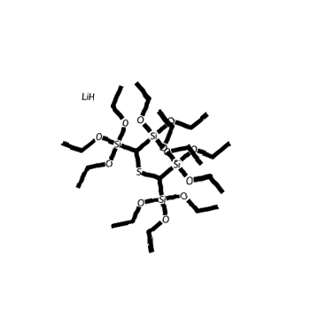 CCO[Si](OCC)(OCC)C(SC([Si](OCC)(OCC)OCC)[Si](OCC)(OCC)OCC)[Si](OCC)(OCC)OCC.[LiH]